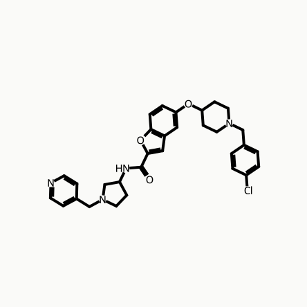 O=C(NC1CCN(Cc2ccncc2)C1)c1cc2cc(OC3CCN(Cc4ccc(Cl)cc4)CC3)ccc2o1